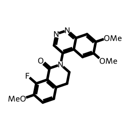 COc1cc2nncc(N3CCc4ccc(OC)c(F)c4C3=O)c2cc1OC